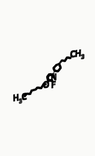 CCCCCCCCOc1ccc([C@H]2CC[C@H](CCCCC)CC2)nc1F